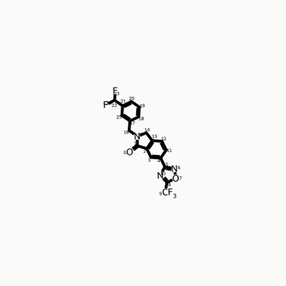 O=C1c2cc(-c3noc(C(F)(F)F)n3)ccc2CN1Cc1cccc(C(F)F)c1